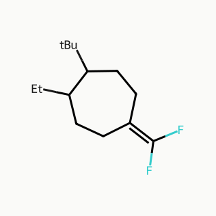 CCC1CCC(=C(F)F)CCC1C(C)(C)C